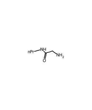 CCCNC(=O)CN